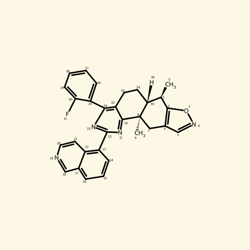 C[C@H]1c2oncc2C[C@@]2(C)c3nc(-c4cccc5cnccc45)nc(-c4ccccc4F)c3CC[C@H]12